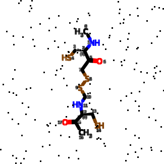 CN[C@@H](CS)C(=O)CSSCN[C@@H](CS)C(C)=O